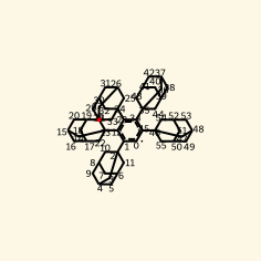 [c]1c(C23CC4CC(CC(C4)C2)C3)c(C23CC4CC(CC(C4)C2)C3)c(C23CC4CC(CC(C4)C2)C3)c(C23CC4CC(CC(C4)C2)C3)c1C12CC3CC(CC(C3)C1)C2